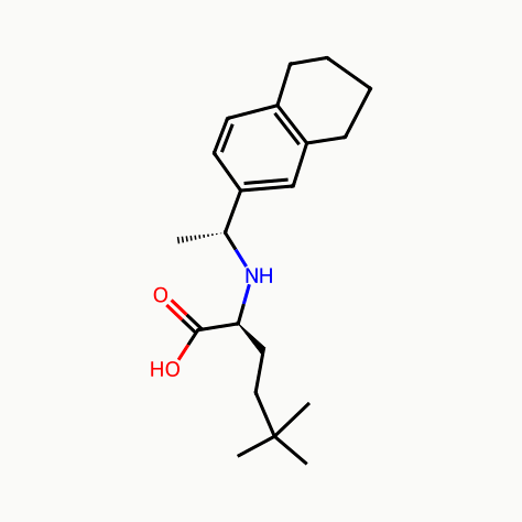 C[C@@H](N[C@@H](CCC(C)(C)C)C(=O)O)c1ccc2c(c1)CCCC2